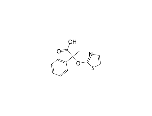 CC(Oc1nccs1)(C(=O)O)c1ccccc1